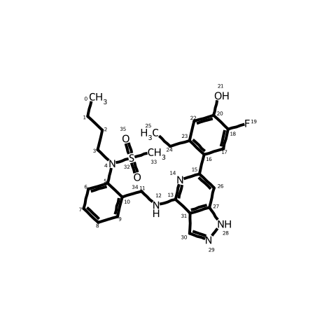 CCCCN(c1ccccc1CNc1nc(-c2cc(F)c(O)cc2CC)cc2[nH]ncc12)S(C)(=O)=O